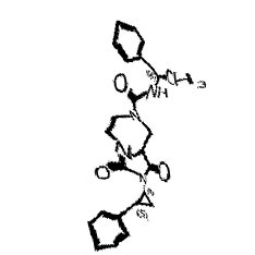 C[C@@H](NC(=O)N1CCN2C(=O)N([C@@H]3C[C@H]3c3ccccc3)C(=O)C2C1)c1ccccc1